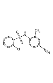 Cc1cc(C#N)ccc1NS(=O)(=O)c1ccccc1Cl